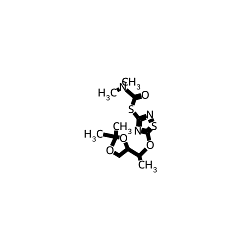 CC(Oc1nc(SC(=O)N(C)C)ns1)C1COC(C)(C)O1